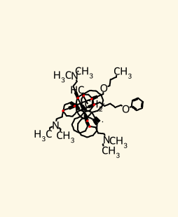 [C]#CC1(C2(C3(C4(C5(C(C#CCCCCCOc6ccccc6)(C#CCCCCN(C)CC)C(C#CCCCN(CC)CC)(C#CCCN(C)C)C([CH2])(C#C)C#CCOCCCC)C#CCCCC5)C#CCCCCC4)C#CCCCCCC3)C#CCCCCCCC2)C#CCCCCCCCC1